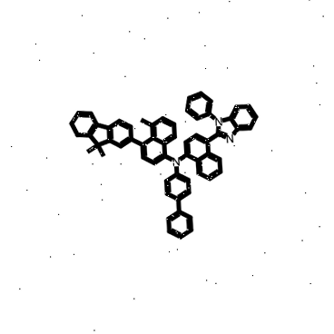 Cc1cccc2c(N(c3ccc(-c4ccccc4)cc3)c3ccc(-c4nc5ccccc5n4-c4ccccc4)c4ccccc34)ccc(-c3ccc4c(c3)C(C)(C)C3=C4C=CCC3)c12